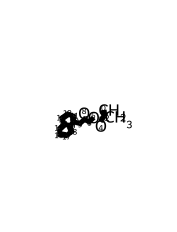 C=C(C)C(=O)OCC(=O)Cc1cccc2ccccc12